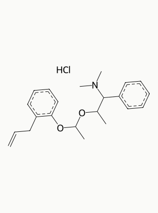 C=CCc1ccccc1OC(C)OC(C)C(c1ccccc1)N(C)C.Cl